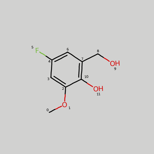 COc1cc(F)cc(CO)c1O